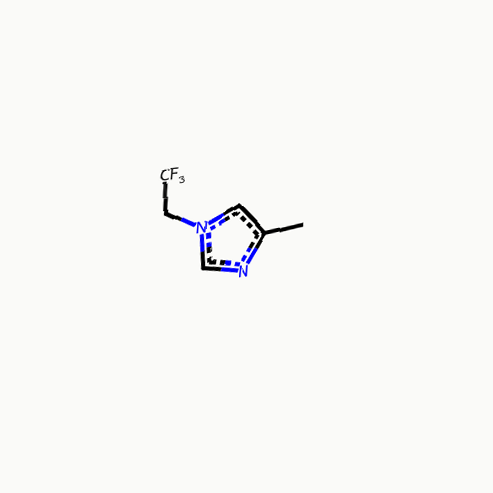 Cc1cn(CC(F)(F)F)cn1